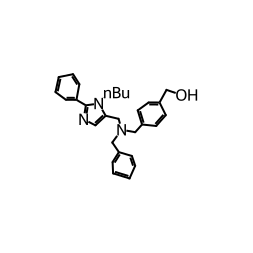 CCCCn1c(CN(Cc2ccccc2)Cc2ccc(CO)cc2)cnc1-c1ccccc1